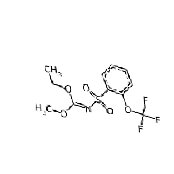 CCOC(=NS(=O)(=O)c1ccccc1OC(F)(F)F)OC